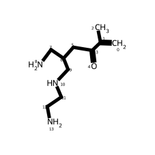 C=C(C)C(=O)CC(CN)CNCCN